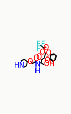 O=C(COC1CCNCC1)NC(CO)C(=O)C(Oc1ccccc1)C(=O)OC(=O)C(F)(F)F